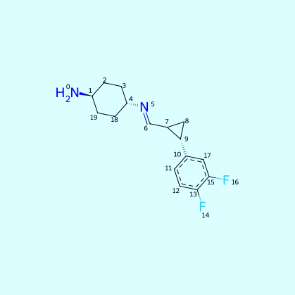 N[C@H]1CC[C@H](/N=C/C2C[C@@H]2c2ccc(F)c(F)c2)CC1